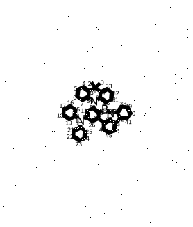 CC1(C)c2ccccc2N2c3cc(N(c4ccccc4)c4ccccc4)cc4c3B(c3cccc1c32)n1c2ccccc2c2cccc-4c21